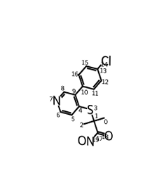 CC(C)(Sc1ccncc1-c1ccc(Cl)cc1)C(=O)N=O